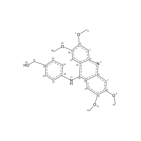 COc1cc2nc3cc(OC)c(OC)cc3c(Nc3ccc(CO)cc3)c2cc1OC